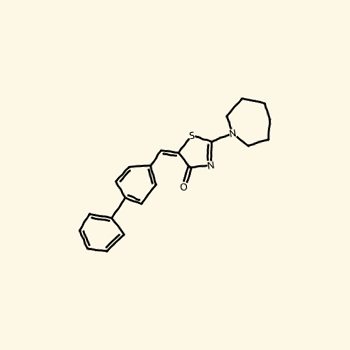 O=C1N=C(N2CCCCCC2)S/C1=C/c1ccc(-c2ccccc2)cc1